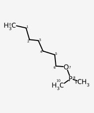 CCCCCCCOP(C)C